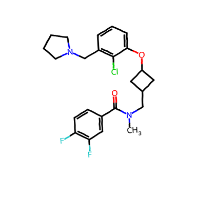 CN(CC1CC(Oc2cccc(CN3CCCC3)c2Cl)C1)C(=O)c1ccc(F)c(F)c1